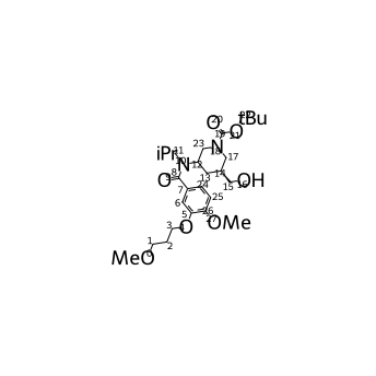 COCCCOc1cc(C(=O)N(C(C)C)C2C[C@H](CO)CN(C(=O)OC(C)(C)C)C2)ccc1OC